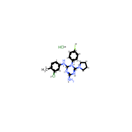 Cc1ccc(NC2N=C(N)N=C(N3CCCC3)N2c2ccc(F)cc2)cc1Cl.Cl